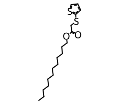 CCCCCCCCCCCCOC(=O)CSc1cccs1